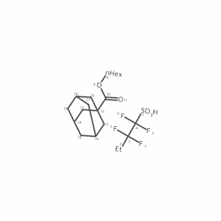 CCC(F)(F)C(F)(F)S(=O)(=O)O.CCCCCCOC(=O)C12CC3CC(CC(C3)C1)C2